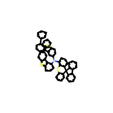 c1ccc(-c2ccc3sc4cccc(N(c5ccc6sc7c(-c8ccccc8)cccc7c6c5)c5cccc6c5Sc5ccccc5C65c6ccccc6-c6ccccc65)c4c3c2)cc1